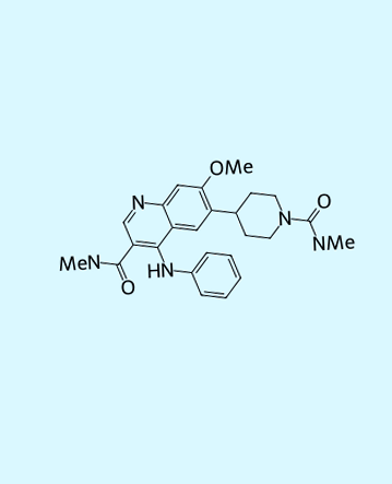 CNC(=O)c1cnc2cc(OC)c(C3CCN(C(=O)NC)CC3)cc2c1Nc1ccccc1